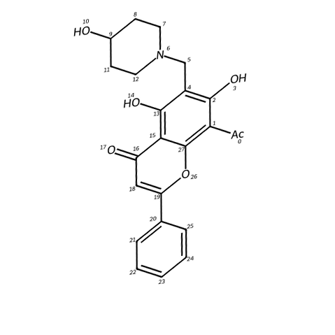 CC(=O)c1c(O)c(CN2CCC(O)CC2)c(O)c2c(=O)cc(-c3ccccc3)oc12